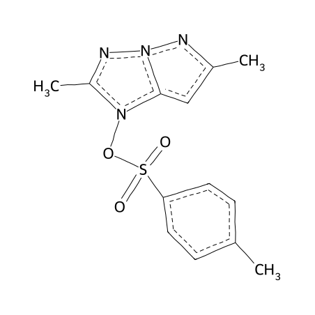 Cc1ccc(S(=O)(=O)On2c(C)nn3nc(C)cc23)cc1